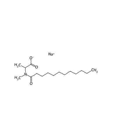 CCCCCCCCCCCC(=O)N(C)C(C)C(=O)[O-].[Na+]